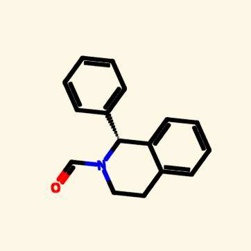 O=CN1CCc2ccccc2[C@H]1c1ccccc1